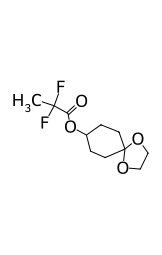 CC(F)(F)C(=O)OC1CCC2(CC1)OCCO2